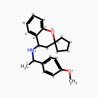 COc1ccc(C(C)NC2CC3(CCCC3)Oc3ccccc32)cc1